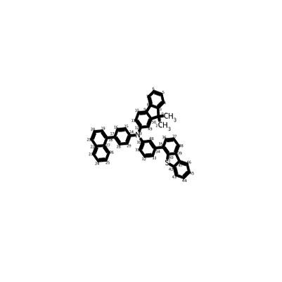 CC1(C)c2ccccc2-c2ccc(N(c3ccc(-c4cccc5ccccc45)cc3)c3cccc(-c4cccc5c4sc4ccccc45)c3)cc21